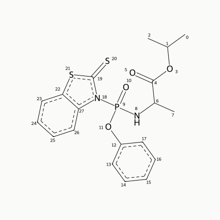 CC(C)OC(=O)C(C)NP(=O)(Oc1ccccc1)n1c(=S)sc2ccccc21